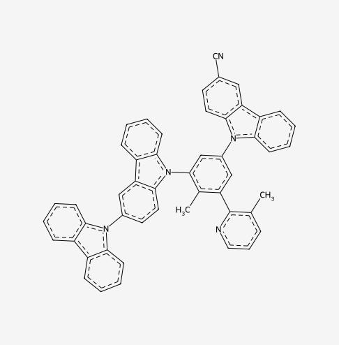 Cc1cccnc1-c1cc(-n2c3ccccc3c3cc(C#N)ccc32)cc(-n2c3ccccc3c3cc(-n4c5ccccc5c5ccccc54)ccc32)c1C